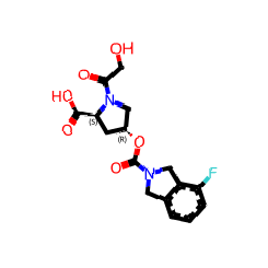 O=C(O)[C@@H]1C[C@@H](OC(=O)N2Cc3cccc(F)c3C2)CN1C(=O)CO